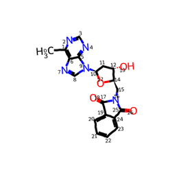 Cc1ncnc2c1ncn2[C@H]1C[C@H](O)[C@@H](CN2C(=O)c3ccccc3C2=O)O1